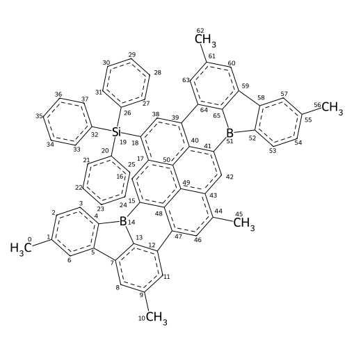 Cc1ccc2c(c1)-c1cc(C)cc3c1B2c1cc2c([Si](c4ccccc4)(c4ccccc4)c4ccccc4)cc4c5c(cc6c(C)cc-3c1c6c25)B1c2ccc(C)cc2-c2cc(C)cc-4c21